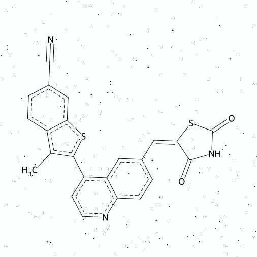 Cc1c(-c2ccnc3ccc(C=C4SC(=O)NC4=O)cc23)sc2cc(C#N)ccc12